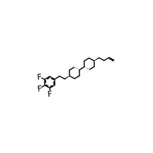 C=CCC[C@H]1CC[C@H]([C@H]2CC[C@H](CCc3cc(F)c(F)c(F)c3)CC2)CC1